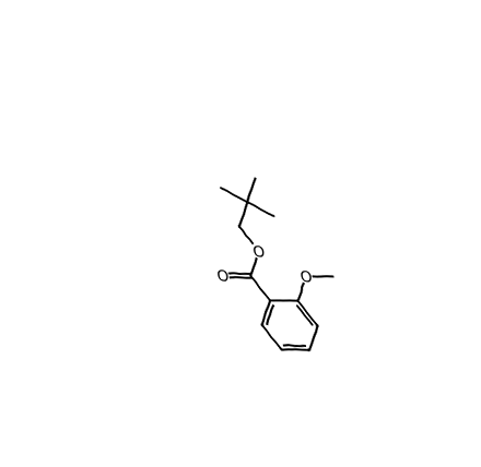 COc1ccccc1C(=O)OCC(C)(C)C